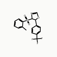 Cc1ccccc1S(=O)(=O)C1N=COC1c1ccc(C(F)(F)F)cc1